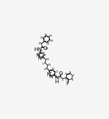 O=C(CC1=C(F)CCC=C1)Nc1ccc(CCCCc2nnc(NC(=O)Cc3ccccc3)s2)nn1